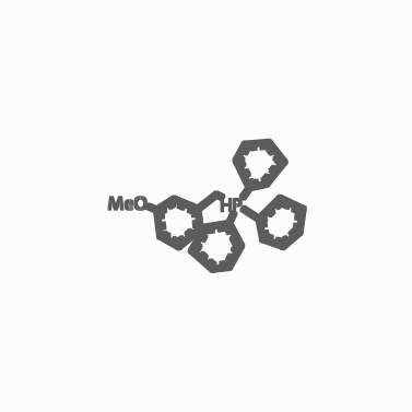 COc1cccc(C[PH](c2ccccc2)(c2ccccc2)c2ccccc2)c1